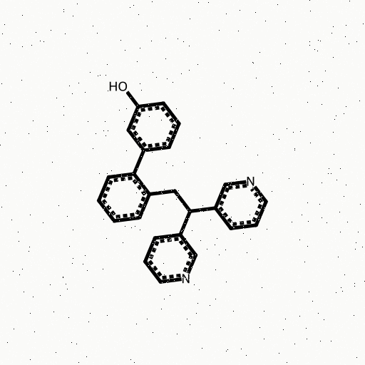 Oc1cccc(-c2ccccc2CC(c2cccnc2)c2cccnc2)c1